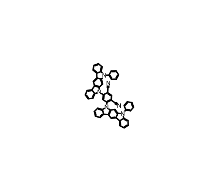 N#Cc1cc(C#N)c(-n2c3ccccc3c3cc4c5ccccc5n(-c5ccccc5)c4cc32)cc1-n1c2ccccc2c2cc3c4ccccc4n(-c4ccccc4)c3cc21